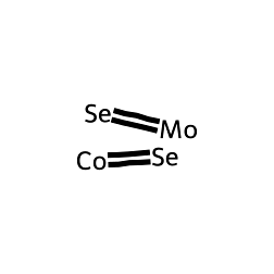 [Co]=[Se].[Se]=[Mo]